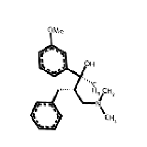 COc1cccc([C@@](C)(O)[C@@H](Cc2ccccc2)CN(C)C)c1